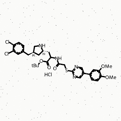 COc1ccc(-c2cnc(SCC(=O)NC(C[C@@H]3C[C@@H](Cc4ccc(Cl)c(Cl)c4)CN3)C(=O)OC(C)(C)C)nc2)cc1OC.Cl